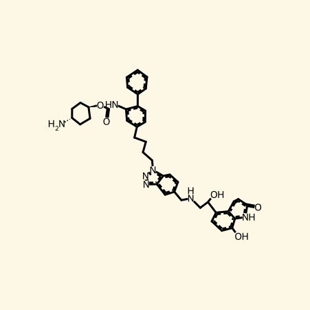 N[C@H]1CC[C@H](OC(=O)Nc2cc(CCCCn3nnc4cc(CNCC(O)c5ccc(O)c6[nH]c(=O)ccc56)ccc43)ccc2-c2ccccc2)CC1